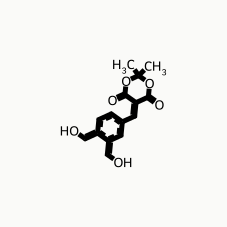 CC1(C)OC(=O)C(=Cc2ccc(=CO)c(=CO)c2)C(=O)O1